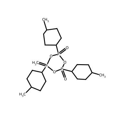 C=P1(C2CCC(C)CC2)OP(=O)(C2CCC(C)CC2)OP(=O)(C2CCC(C)CC2)O1